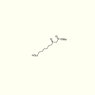 CCCCCCCCCCCCCCC(=O)CC(=O)OC